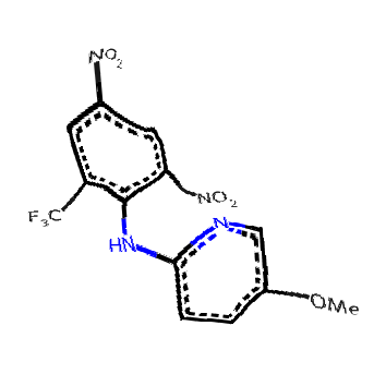 COc1ccc(Nc2c([N+](=O)[O-])cc([N+](=O)[O-])cc2C(F)(F)F)nc1